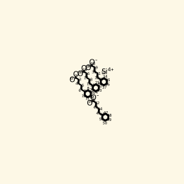 O=C([O-])C=CC=Cc1ccccc1.O=C([O-])C=CC=Cc1ccccc1.O=C([O-])C=CC=Cc1ccccc1.O=C([O-])C=CC=Cc1ccccc1.[Si+4]